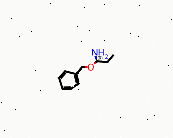 CC[C@H](N)OCc1ccccc1